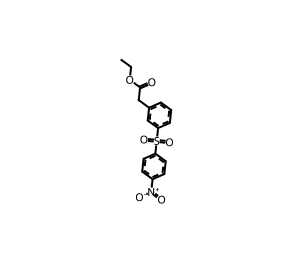 CCOC(=O)Cc1cccc(S(=O)(=O)c2ccc([N+](=O)[O-])cc2)c1